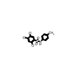 Cc1ccc(NS(=O)(=O)c2cc(Cl)c(Cl)cc2Cl)cc1